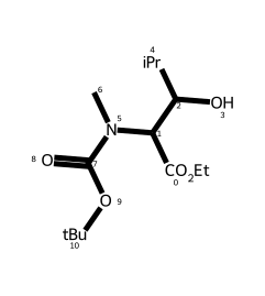 CCOC(=O)C(C(O)C(C)C)N(C)C(=O)OC(C)(C)C